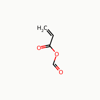 C=CC(=O)OC=O